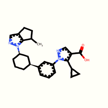 CC1CCc2cnn([C@@H]3CCC[C@H](c4cccc(-n5ncc(C(=O)O)c5C5CC5)c4)C3)c21